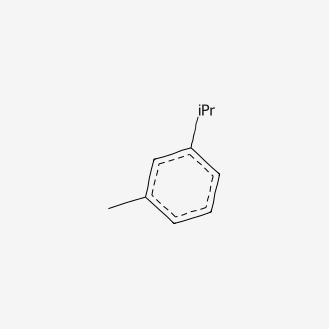 [CH2]C(C)c1cccc(C)c1